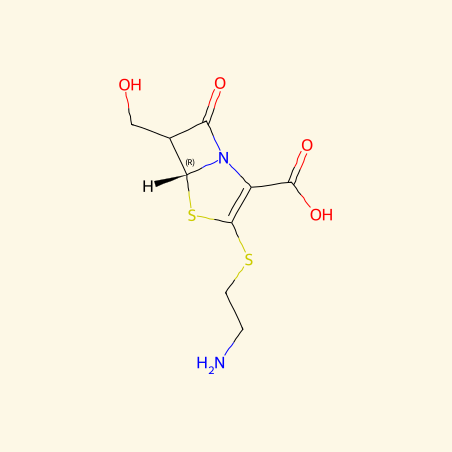 NCCSC1=C(C(=O)O)N2C(=O)C(CO)[C@H]2S1